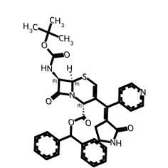 CC(C)(C)OC(=O)N[C@@H]1C(=O)N2[C@@H](C(=O)OC(c3ccccc3)c3ccccc3)C(C(=C3CCNC3=O)c3ccncc3)=CS[C@H]12